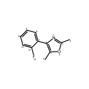 [CH2]c1oc(C)nc1-c1ccccc1F